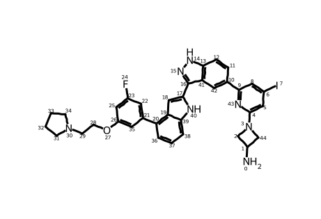 NC1CN(c2cc(I)cc(-c3ccc4[nH]nc(-c5cc6c(-c7cc(F)cc(OCCN8CCCC8)c7)cccc6[nH]5)c4c3)n2)C1